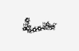 COC(=O)N[C@H](C(=O)N1CCC[C@H]1c1ncc(-c2ccc(-c3ccc(-c4cnc([C@H]5C6CCC(C6)[C@@H]5C(=O)NCc5cnccn5)[nH]4)cc3)cc2)[nH]1)C(C)C